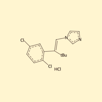 CC(C)(C)C(=Cn1ccnc1)c1cc(Cl)ccc1Cl.Cl